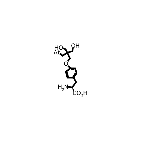 N[C@@H](Cc1ccc(OCC(CO)(CO)C[At])cc1)C(=O)O